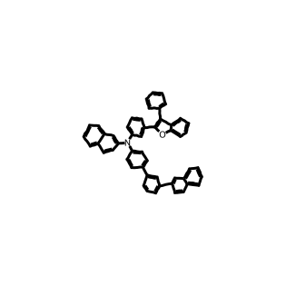 c1ccc(-c2c(-c3cccc(N(c4ccc(-c5cccc(-c6ccc7ccccc7c6)c5)cc4)c4ccc5ccccc5c4)c3)oc3ccccc23)cc1